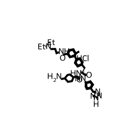 CCN(CC)CCCNC(=O)c1ccc(C)c(-c2ccc(C[C@H](NC(=O)C3CCC(CN)CC3)C(=O)Nc3ccc(-c4nn[nH]n4)cc3)cc2)c1.Cl